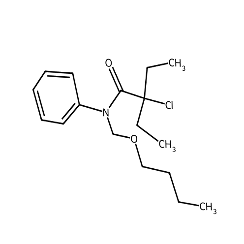 CCCCOCN(C(=O)C(Cl)(CC)CC)c1ccccc1